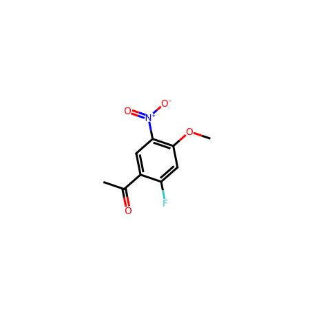 COc1cc(F)c(C(C)=O)cc1[N+](=O)[O-]